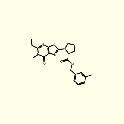 CCc1nc2sc(N3CCC[C@@H]3C(=O)NCc3cccc(F)c3)nc2c(=O)n1C